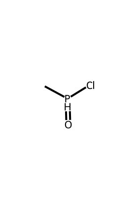 C[PH](=O)Cl